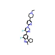 CCN1CCC(c2ccc(N3C=C(F)C(c4cc(F)c5c(c4)C4(CCCC4)C(C)=N5)=NC3)nc2)CC1